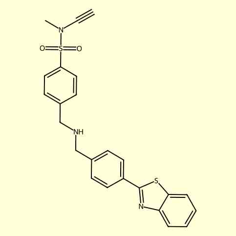 C#CN(C)S(=O)(=O)c1ccc(CNCc2ccc(-c3nc4ccccc4s3)cc2)cc1